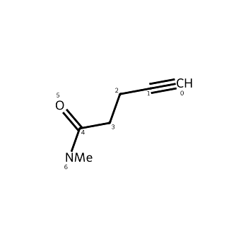 C#CCCC(=O)NC